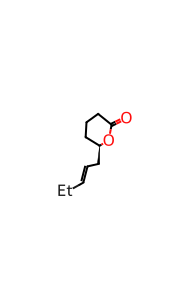 CCC=CC[C@H]1CCCC(=O)O1